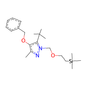 Cc1nn(COCC[Si](C)(C)C)c(C(C)(C)C)c1OCc1ccccc1